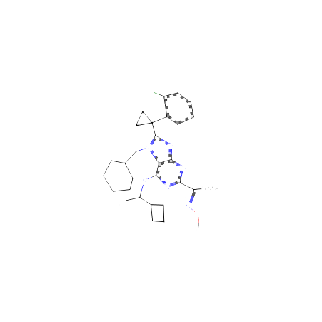 CN/C(=N\OC=O)c1nc(NC(C)C2CCC2)c2c(n1)nc(C1(c3ccccc3F)CC1)n2CC1CCCCC1